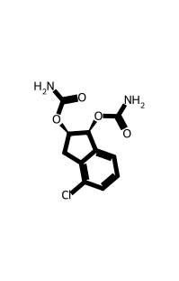 NC(=O)O[C@@H]1Cc2c(Cl)cccc2[C@@H]1OC(N)=O